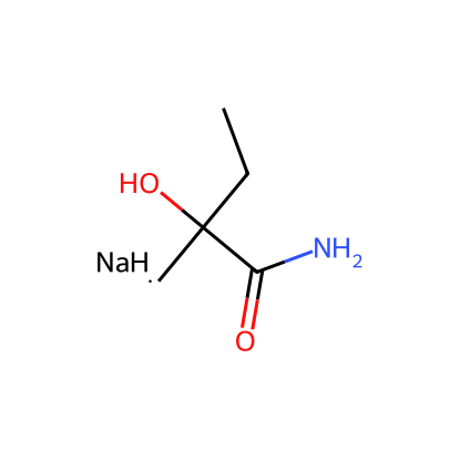 [CH2]C(O)(CC)C(N)=O.[NaH]